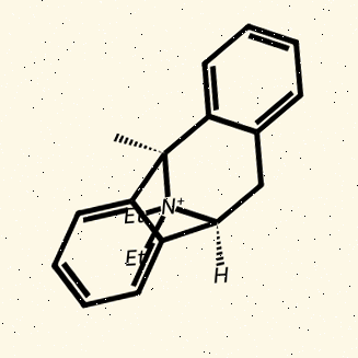 CC[N+]1(CC)[C@H]2Cc3ccccc3[C@]1(C)c1ccccc12